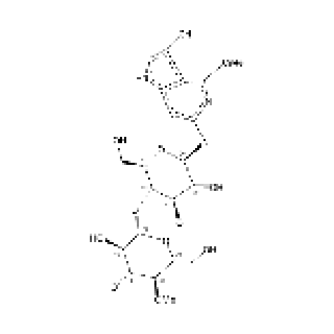 COc1nc(N[C@@H]2O[C@H](CO)[C@@H](O[C@@H]3O[C@H](CO)[C@@H](OC)[C@H](O)[C@H]3O)[C@H](O)[C@H]2O)nc2[nH]cc(C#N)c12